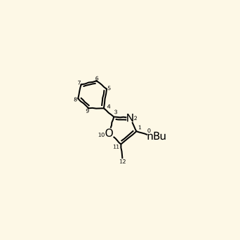 [CH2]CCCc1nc(-c2ccccc2)oc1C